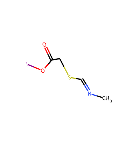 C/N=C/SCC(=O)OI